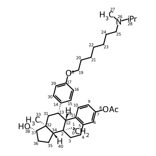 C=C[C@@]12CCc3cc(OC(C)=O)ccc3[C@H]1[C@@H](c1ccc(OCCCCCCCN(C)C(C)C)cc1)C[C@@]1(C)[C@H]2CC[C@@H]1O